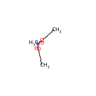 CCCCCCCCCCCCOC(=O)CCN(C)CCC(=O)OCCCCCCCCCCCC